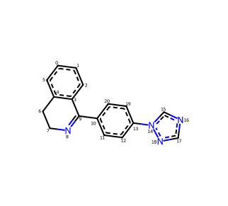 c1ccc2c(c1)CCN=C2c1ccc(-n2cncn2)cc1